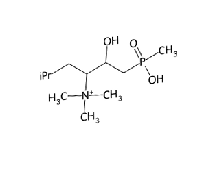 CC(C)CC(C(O)CP(C)(=O)O)[N+](C)(C)C